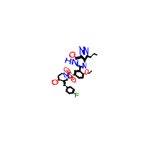 CCCc1nn(C)c2c(=O)[nH]c(-c3cc(S(=O)(=O)N4CCC(=O)C(=Cc5ccc(F)cc5)C4)ccc3OCC)nc12